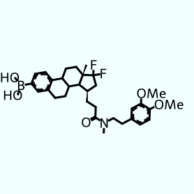 COc1ccc(CCN(C)C(=O)CC[C@@H]2CC(F)(F)[C@@]3(C)CCC4c5ccc(B(O)O)cc5CCC4C23)cc1OC